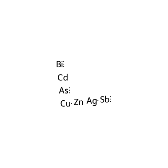 [Ag].[As].[Bi].[Cd].[Cu].[Sb].[Zn]